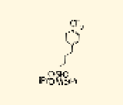 CO[Si](CCCCc1ccc(C(F)(F)F)cc1)(OC(C)C)OC(C)C